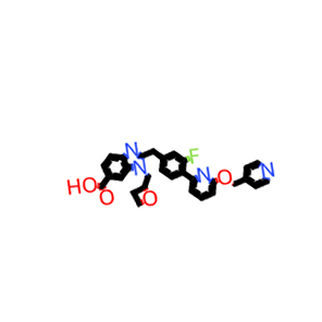 O=C(O)c1ccc2nc(Cc3ccc(-c4cccc(OCc5ccncc5)n4)c(F)c3)n(CC3CCO3)c2c1